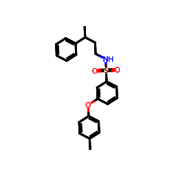 Cc1ccc(Oc2cccc(S(=O)(=O)NCCC(C)c3ccccc3)c2)cc1